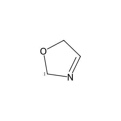 [C]1N=CCO1